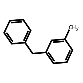 [CH2]c1cccc(Cc2ccccc2)c1